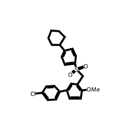 COc1ccc(-c2ccc(Cl)cc2)cc1CS(=O)(=O)c1ccc(C2[CH]CCCC2)cc1